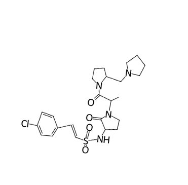 CC(C(=O)N1CCCC1CN1CCCC1)N1CCC(NS(=O)(=O)/C=C/c2ccc(Cl)cc2)C1=O